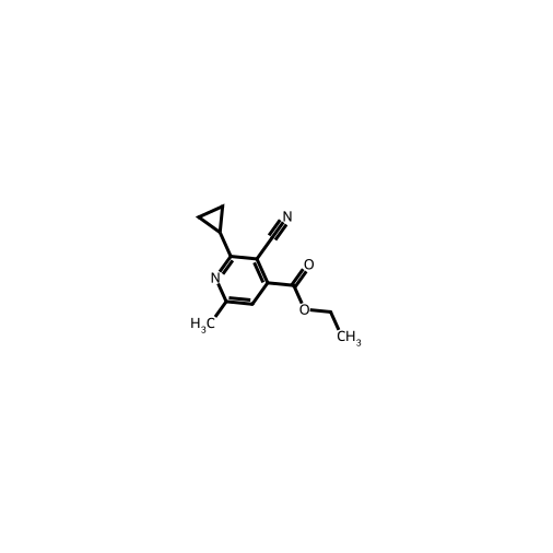 CCOC(=O)c1cc(C)nc(C2CC2)c1C#N